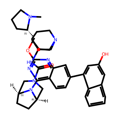 CN1CCC[C@H]1COc1nc(N2[C@@H]3CC[C@H]2CN(C(=O)NC2CN4CCC2CC4)C3)c2ccc(-c3cc(O)cc4ccccc34)cc2n1